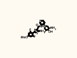 COc1cc(F)c(-c2nc(C(=O)Nc3cnccc3N3C[C@@H](N)[C@H](O)[C@@H](C)C3)c(N)s2)c(F)c1